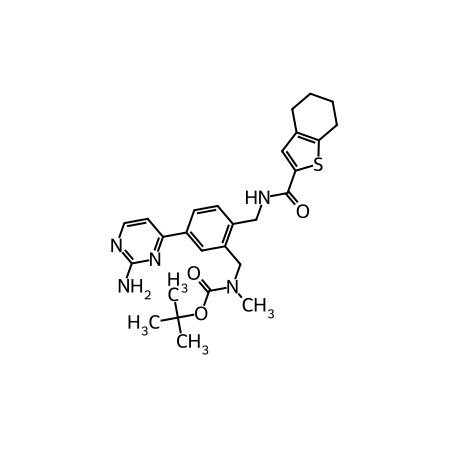 CN(Cc1cc(-c2ccnc(N)n2)ccc1CNC(=O)c1cc2c(s1)CCCC2)C(=O)OC(C)(C)C